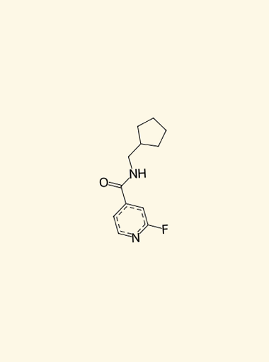 O=C(NCC1CCCC1)c1ccnc(F)c1